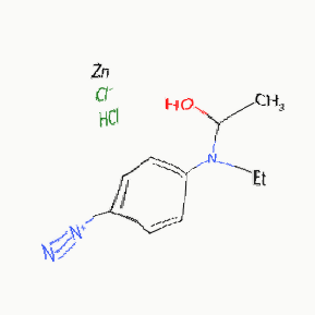 CCN(c1ccc([N+]#N)cc1)C(C)O.Cl.[Cl-].[Zn]